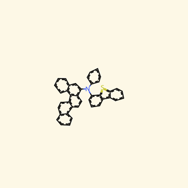 c1ccc(N(c2cc3ccccc3c3c2ccc2c4ccccc4ccc23)c2cccc3c2sc2ccccc23)cc1